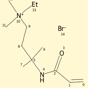 C=CC(=O)NC(C)(C)CC[N+](C)(C)CC.[Br-]